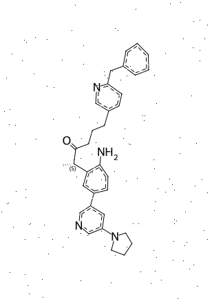 C[C@H](C(=O)CCCc1ccc(Cc2ccccc2)nc1)c1cc(-c2cncc(N3CCCC3)c2)ccc1N